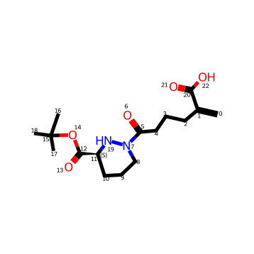 C=C(CCCC(=O)N1CCC[C@@H](C(=O)OC(C)(C)C)N1)C(=O)O